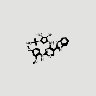 COc1ccc(Nc2ncc(-c3nc4ccccc4s3)c(N[C@@H]3C[C@@H](C(C)(C)O)[C@@H](O)[C@H]3O)n2)c(OC)c1